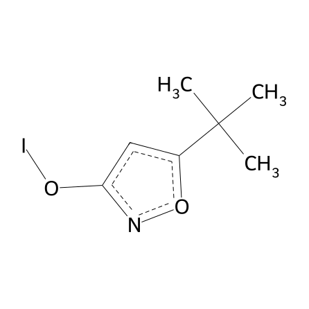 CC(C)(C)c1cc(OI)no1